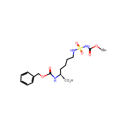 CC(C)(C)OC(=O)NS(=O)(=O)NCCCC[C@H](NC(=O)OCc1ccccc1)C(=O)O